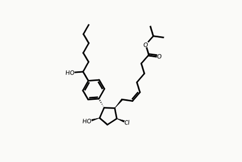 CCCCCC(O)c1ccc([C@@H]2[C@@H](C/C=C\CCCC(=O)OC(C)C)[C@@H](Cl)C[C@H]2O)cc1